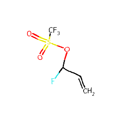 C=CC(F)OS(=O)(=O)C(F)(F)F